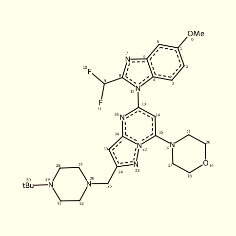 COc1ccc2c(c1)nc(C(F)F)n2-c1cc(N2CCOCC2)n2nc(CN3CCN(C(C)(C)C)CC3)cc2n1